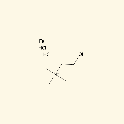 C[N+](C)(C)CCO.Cl.Cl.[Fe]